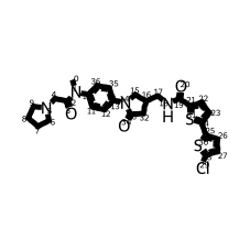 CN(C(=O)CN1CCCC1)c1ccc(N2CC(CNC(=O)c3ccc(-c4ccc(Cl)s4)s3)CC2=O)cc1